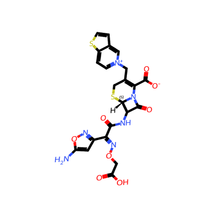 Nc1cc(C(=NOCC(=O)O)C(=O)NC2C(=O)N3C(C(=O)[O-])=C(C[n+]4ccc5sccc5c4)CS[C@@H]23)no1